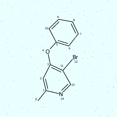 Cc1cc(Oc2ccccc2)c(Br)cn1